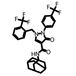 O=C(NC12CC3CC(CC(C3)C1)C2)c1cn(Cc2ccccc2C(F)(F)F)n(-c2ccc(C(F)(F)F)cc2)c1=O